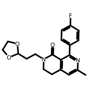 Cc1cc2c(c(-c3ccc(F)cc3)n1)C(=O)N(CCC1OCCO1)CC2